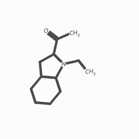 CCN1C(C(C)=O)CC2CCCCC21